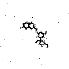 CCC1OCC(CC)(c2cc(F)cc(OCc3ccc4ccc(F)cc4c3)c2)O1